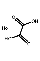 O=C(O)C(=O)O.[Ho]